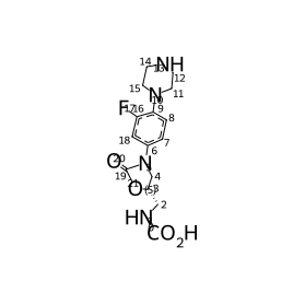 O=C(O)NC[C@H]1CN(c2ccc(N3CCNCC3)c(F)c2)C(=O)O1